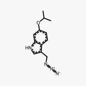 CC(C)Oc1ccc2c(CN=[N+]=[N-])c[nH]c2c1